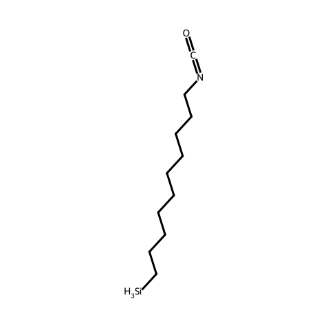 O=C=NCCCCCCCCCC[SiH3]